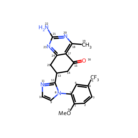 COc1ccc(C(F)(F)F)cc1-n1ccnc1C1CC(=O)c2c(C)nc(N)nc2C1